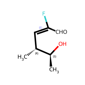 C[C@H](O)[C@H](C)/C=C(/F)C=O